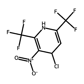 O=[N+]([O-])C1=C(C(F)(F)F)NC(C(F)(F)F)=CC1Cl